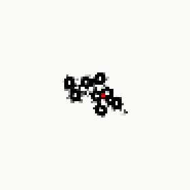 N#Cc1ccc2c3ccccc3n(-c3ccccc3-c3ccc(-n4c5ccccc5c5ccc(-n6c7ccccc7c7ccccc76)cc54)c(C#N)c3)c2c1